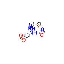 CS(=O)(=O)c1ccc(Nc2nc3c(-c4ccc(CN5CCOCC5)s4)cccn3n2)cc1